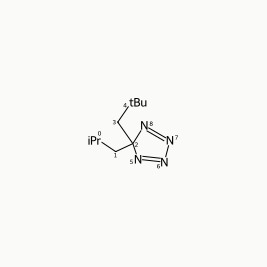 CC(C)CC1(CC(C)(C)C)N=NN=N1